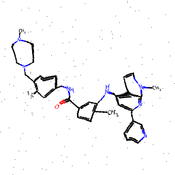 Cc1ccc(C(=O)Nc2ccc(CN3CCN(C)CC3)c(C(F)(F)F)c2)cc1Nc1cc(-c2cccnc2)nc2c1ccn2C